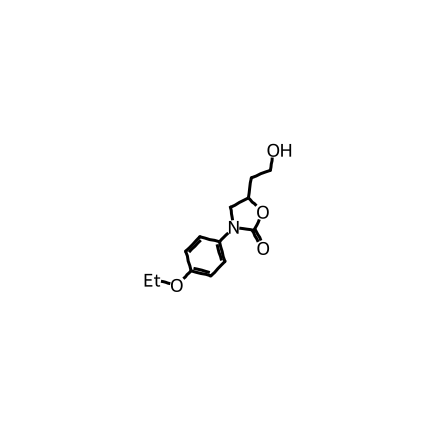 CCOc1ccc(N2CC(CCO)OC2=O)cc1